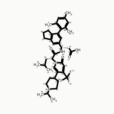 Cc1cc(C)c(-c2cc([C@H](CC(=O)O)NC(=O)[C@@H](CC(C)C)n3cc(C4CCN(C(C)C)CC4)c(C(F)(F)F)cc3=O)cc3c2CCC3)c(C)c1